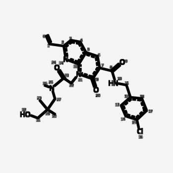 C=Cc1ccc2cc(C(=O)NCc3ccc(Cl)cc3)c(=O)n(CC(=O)N(C)CC(C)(C)CO)c2n1